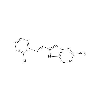 O=[N+]([O-])c1ccc2[nH]c(/C=C/c3ccccc3Cl)cc2c1